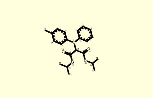 Cc1ccc(N(c2ccccc2)C(C(=O)OC(C)C)C(=O)OC(C)C)cc1